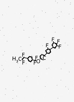 C/C(F)=C(\F)c1ccc(C(F)(F)Oc2ccc(-c3ccc(-c4cc(F)c(F)c(F)c4)c(F)c3)cc2)cc1